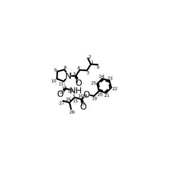 CC(C)CCC(=O)N1CCC[C@H]1C(=O)N[C@H](C(=O)OCc1ccccc1)C(C)C